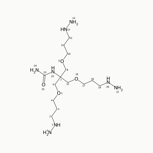 NNCCCOCC(COCCCNN)(COCCCNN)NC(N)=O